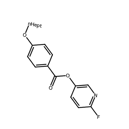 CCCCCCCOc1ccc(C(=O)Oc2ccc(F)nc2)cc1